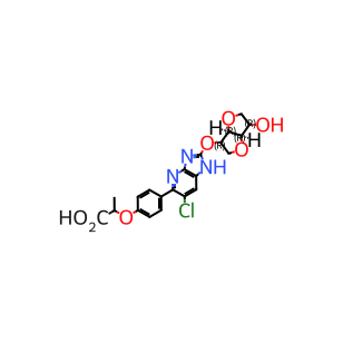 CC(Oc1ccc(-c2nc3nc(O[C@@H]4CO[C@H]5[C@@H]4OC[C@H]5O)[nH]c3cc2Cl)cc1)C(=O)O